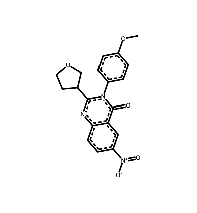 COc1ccc(-n2c(C3CCOC3)nc3ccc([N+](=O)[O-])cc3c2=O)cc1